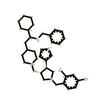 Clc1ccc(CN2C[C@H](CN3CCC(CC(OCc4ccccc4)C4CCCCC4)CC3)[C@@H](c3ccsc3)C2)c(Cl)c1